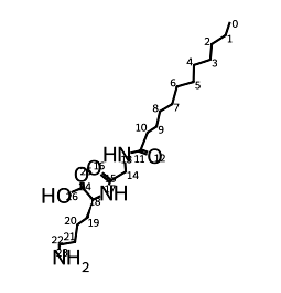 CCCCCCCCCCCC(=O)NCC(=O)N[C@@H](CCCCN)C(=O)O